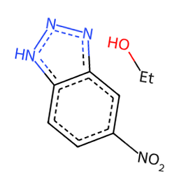 CCO.O=[N+]([O-])c1ccc2[nH]nnc2c1